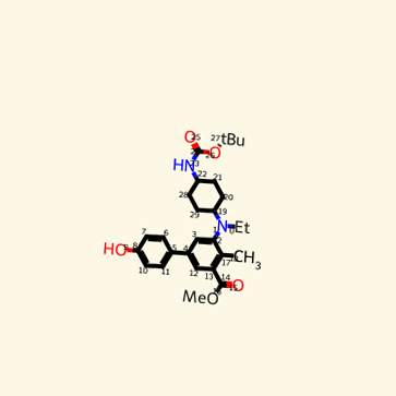 CCN(c1cc(-c2ccc(O)cc2)cc(C(=O)OC)c1C)C1CCC(NC(=O)OC(C)(C)C)CC1